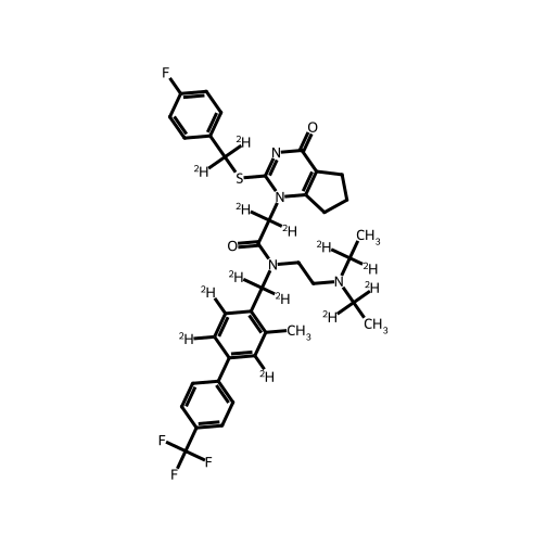 [2H]c1c([2H])c(C([2H])([2H])N(CCN(C([2H])([2H])C)C([2H])([2H])C)C(=O)C([2H])([2H])n2c(SC([2H])([2H])c3ccc(F)cc3)nc(=O)c3c2CCC3)c(C)c([2H])c1-c1ccc(C(F)(F)F)cc1